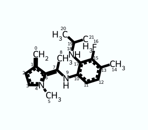 C=c1ccn(C)/c1=C(/C)Nc1ccc(C)c(F)c1NC(C)C